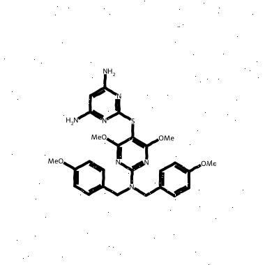 COc1ccc(CN(Cc2ccc(OC)cc2)c2nc(OC)c(Sc3nc(N)cc(N)n3)c(OC)n2)cc1